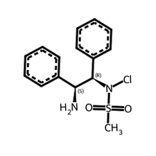 CS(=O)(=O)N(Cl)[C@H](c1ccccc1)[C@@H](N)c1ccccc1